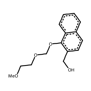 COCCOCOc1c(CO)ccc2ccccc12